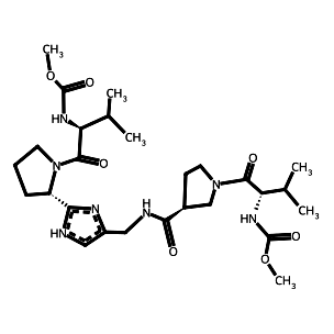 COC(=O)N[C@H](C(=O)N1CC[C@H](C(=O)NCc2c[nH]c([C@@H]3CCCN3C(=O)[C@@H](NC(=O)OC)C(C)C)n2)C1)C(C)C